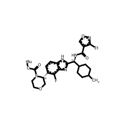 CCc1nocc1C(=O)N[C@H](c1nc2c(F)c([C@@H]3COCCN3C(=O)OC(C)(C)C)ccc2[nH]1)C1CCC(C)CC1